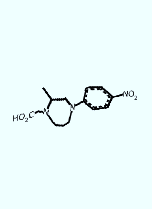 CC1CN(c2ccc([N+](=O)[O-])cc2)CCN1C(=O)O